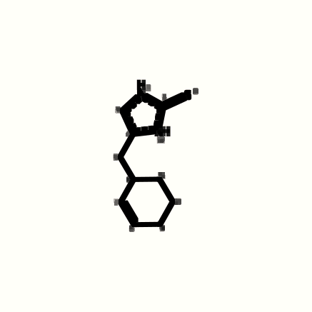 S=c1[nH]cc(CC2C=CCCC2)[nH]1